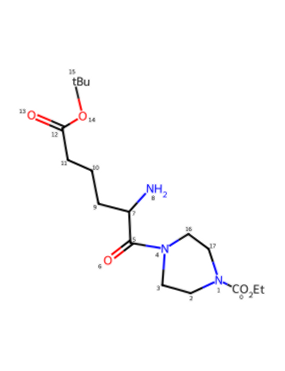 CCOC(=O)N1CCN(C(=O)C(N)CCCC(=O)OC(C)(C)C)CC1